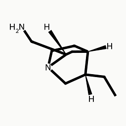 CC[C@@H]1CN2CC[C@H]1C[C@H]2CN